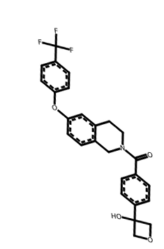 O=C(c1ccc(C2(O)COC2)cc1)N1CCc2cc(Oc3ccc(C(F)(F)F)cc3)ccc2C1